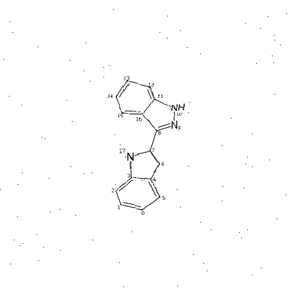 c1ccc2c(c1)CC(c1n[nH]c3ccccc13)[N]2